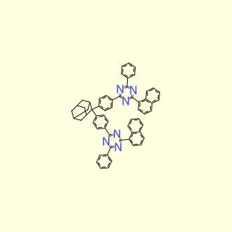 c1ccc(-c2nc(-c3ccc(C4(c5ccc(-c6nc(-c7ccccc7)nc(-c7cccc8ccccc78)n6)cc5)C5CC6CC(C5)CC4C6)cc3)nc(-c3cccc4ccccc34)n2)cc1